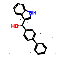 OC(c1ccc(-c2ccccc2)cc1)c1c[nH]c2ccccc12